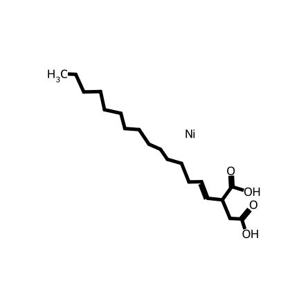 CCCCCCCCCCCCCC=CC(CC(=O)O)C(=O)O.[Ni]